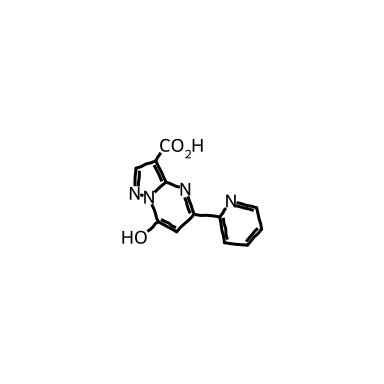 O=C(O)c1cnn2c(O)cc(-c3ccccn3)nc12